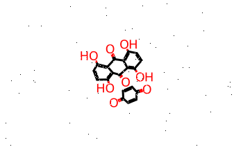 O=C1C=CC(=O)C=C1.O=C1c2c(O)ccc(O)c2C(=O)c2c(O)ccc(O)c21